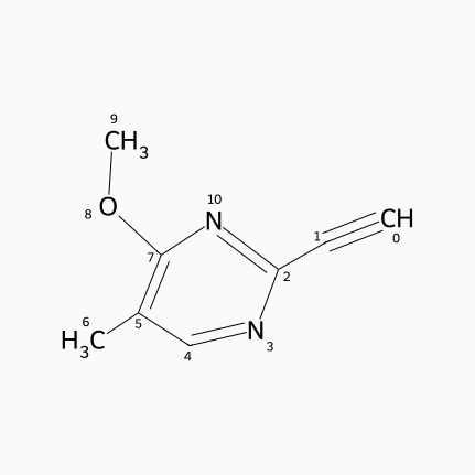 C#Cc1ncc(C)c(OC)n1